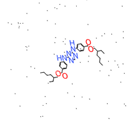 CCCCC(CC)COC(=O)c1ccc(Nc2ncnc(Nc3ccc(C(=O)OCC(CC)CCCC)cc3)n2)cc1